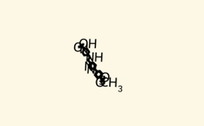 CS(=O)(=O)c1ccc(-c2ccc(CNC3CCN(C(=O)O)CC3)nn2)cc1